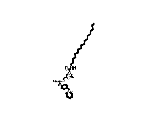 CCCCCCCCCCCCCCCCCCNC(=O)OCC(COP(O)Oc1ccc(C[n+]2ccccc2)cc1)OC(C)C